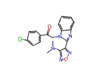 CN(C)c1nonc1-c1nc2ccccc2n1CC(=O)c1ccc(Cl)cc1